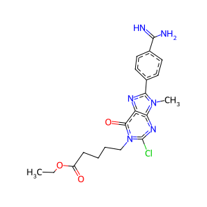 CCOC(=O)CCCCn1c(Cl)nc2c(nc(-c3ccc(C(=N)N)cc3)n2C)c1=O